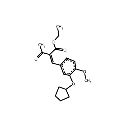 CCOC(=O)C(=Cc1ccc(OC)c(OC2CCCC2)c1)C(C)=O